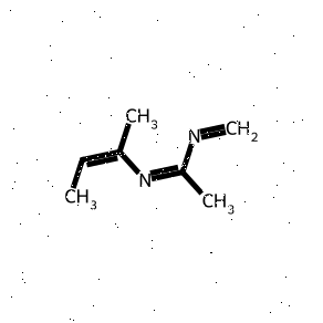 C=N/C(C)=N\C(C)=C/C